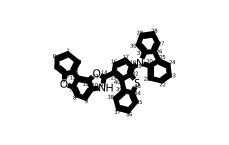 c1ccc2c(c1)oc1ccc3c(c12)OC(c1ccc(-n2c4ccccc4c4ccccc42)c2sc4ccccc4c12)N3